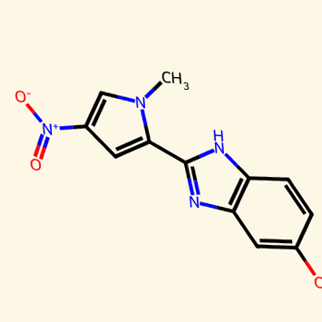 Cn1cc([N+](=O)[O-])cc1-c1nc2cc(O)ccc2[nH]1